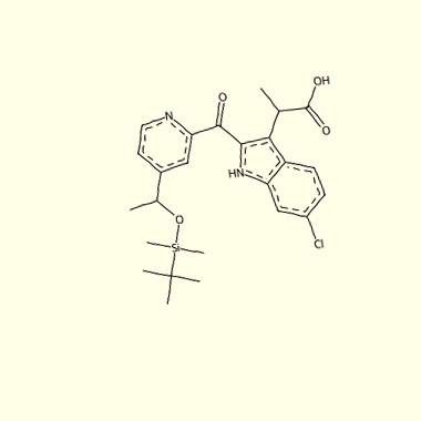 CC(O[Si](C)(C)C(C)(C)C)c1ccnc(C(=O)c2[nH]c3cc(Cl)ccc3c2C(C)C(=O)O)c1